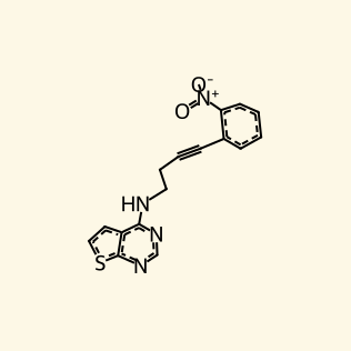 O=[N+]([O-])c1ccccc1C#CCCNc1ncnc2sccc12